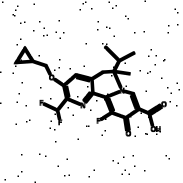 CC(C)C1(C)Cc2cc(OCC3CC3)c(C(F)F)nc2-c2c(F)c(=O)c(C(=O)O)cn21